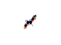 Cc1c(-c2nc3ccc(OC(F)F)cc3o2)cccc1-c1cccc(-c2nc3cc(CN4CC5(C4)CC5(F)F)c(OC(F)F)cc3o2)c1C